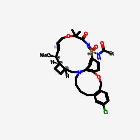 CCC(=O)N[S@@]1(=O)=NC(=O)C(C)(C)OC/C=C/[C@H](OC)[C@@H]2CC[C@H]2CN2CCCCc3cc(Cl)ccc3COc3ccc1cc32